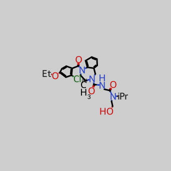 CCOc1ccc(C(=O)N2C[C@@H](C)N(C(=O)NCC(=O)N(CCO)C(C)C)Cc3ccccc32)c(Cl)c1